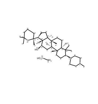 CN1CCN([C@H]2CC[C@]3(C)[C@H]4C[C@@H](O)[C@@H]5[C@@H]([C@@]6(C)CCCC(C)(C)O6)CC[C@@]5(C)[C@]4(C)CC[C@H]3C2(C)C)CC1.NC(=O)O